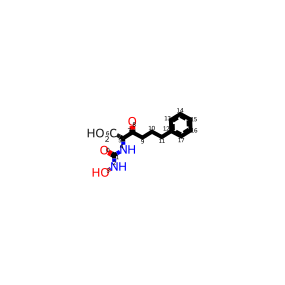 O=C(NO)NC(C(=O)O)C(=O)CCCc1ccccc1